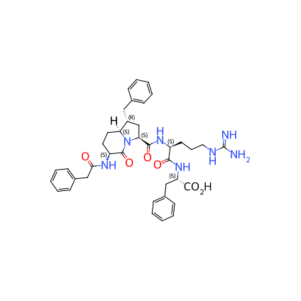 N=C(N)NCCC[C@H](NC(=O)[C@@H]1C[C@@H](Cc2ccccc2)[C@@H]2CC[C@H](NC(=O)Cc3ccccc3)C(=O)N12)C(=O)N[C@@H](Cc1ccccc1)C(=O)O